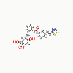 O=C(Oc1ccccc1/C=C/c1cc(C(O)O)ccc1O)c1cccc(/C=C/c2nccs2)c1